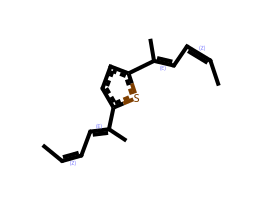 C/C=C\C=C(/C)c1ccc(/C(C)=C/C=C\C)s1